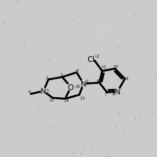 CN1CC2CN(c3cnccc3Cl)CC(C1)O2